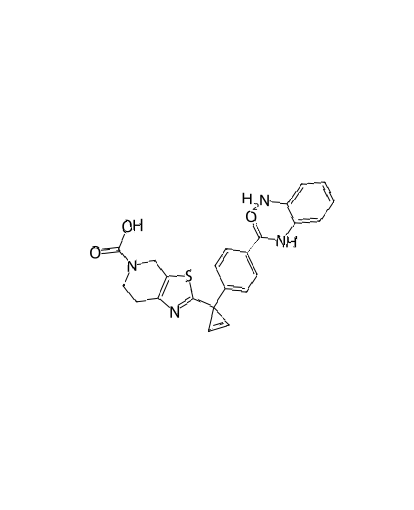 Nc1ccccc1NC(=O)c1ccc(C2(c3nc4c(s3)CN(C(=O)O)CC4)C=C2)cc1